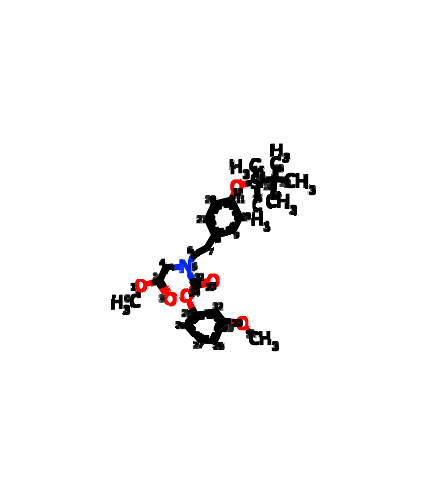 COC(=O)CN(CCc1ccc(O[Si](C)(C)C(C)(C)C)cc1)C(=O)Oc1cccc(OC)c1